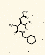 COC(=O)N=C(N(C)C)N(C)C(=O)NCC1CCCCC1